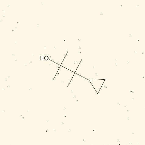 CC(C)(O)C(C)(C)C1CC1